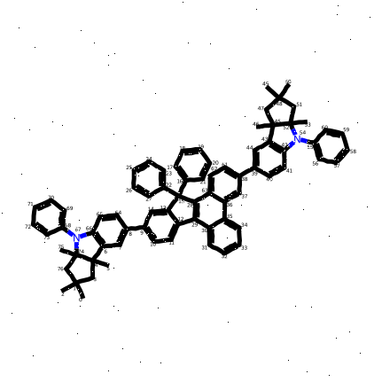 CC1(C)CC2(C)c3cc(-c4ccc5c(c4)C(c4ccccc4)(c4ccccc4)c4c-5c5ccccc5c5cc(-c6ccc7c(c6)C6(C)CC(C)(C)CC6(C)N7c6ccccc6)ccc45)ccc3N(c3ccccc3)C2(C)C1